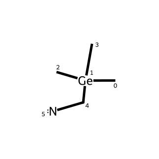 [CH3][Ge]([CH3])([CH3])[CH2][N]